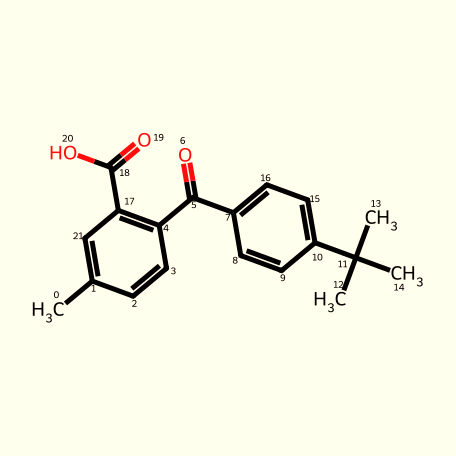 Cc1ccc(C(=O)c2ccc(C(C)(C)C)cc2)c(C(=O)O)c1